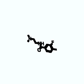 Cc1ccc(C(=O)NCCN(C)C)cc1F